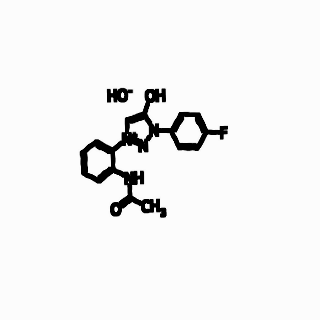 CC(=O)Nc1ccccc1-[n+]1cc(O)n(-c2ccc(F)cc2)n1.[OH-]